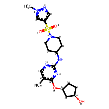 Cn1cc(S(=O)(=O)N2CCC(Nc3ncc(C#N)c(O[C@H]4CC[C@@H](O)C4)n3)CC2)cn1